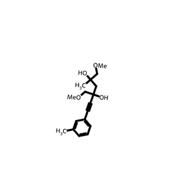 COCC(C)(O)CC(O)(C#Cc1cccc(C)c1)COC